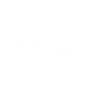 c1ccc(-c2ccc(N(c3ccc(-c4ccccc4)cc3)c3ccc(N4c5ccccc5C(c5ccccc5)(n5c6ccccc6c6ccccc65)c5ccccc54)cc3)cc2)cc1